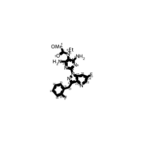 CCN(C(=O)OC)c1c(N)nc(-n2nc(Cc3ccccc3F)c3ncc(F)cc32)nc1N